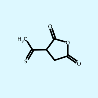 CC(=S)C1CC(=O)OC1=O